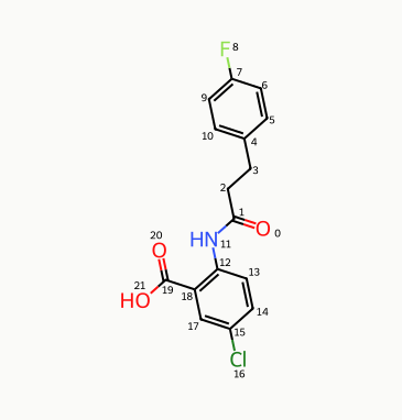 O=C(CCc1ccc(F)cc1)Nc1ccc(Cl)cc1C(=O)O